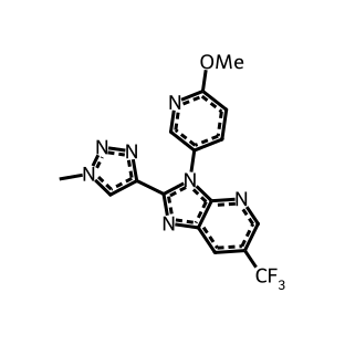 COc1ccc(-n2c(-c3cn(C)nn3)nc3cc(C(F)(F)F)cnc32)cn1